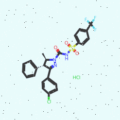 C[C@@H]1[C@@H](c2ccccc2)C(c2ccc(Cl)cc2)=NN1C(=O)NS(=O)(=O)c1ccc(C(F)(F)F)cc1.Cl